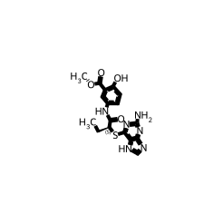 CC[C@H](Sc1nc(N)nc2nc[nH]c12)C(=O)Nc1ccc(O)c(C(=O)OC)c1